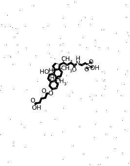 C[C@H](CCC(=O)NCCS(=O)(=O)O)[C@H]1CC[C@H]2[C@@H]3[C@@H](O)CC4C[C@H](OC(=O)CCCC(=O)O)CC[C@]4(C)[C@H]3CC[C@]12C